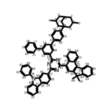 CC1CC2CC(C)CC(c3ccc(-c4cc(-c5ccccc5)cc(-c5nc(-c6ccc7c8ccccc8n(-c8ccccc8)c7c6)nc(-c6cc7c(c8ccccc68)-c6ccccc6C7(C)C)n5)c4)cc3)(C1)C2